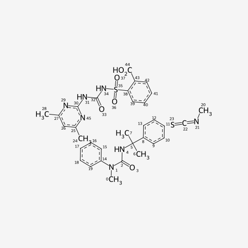 CN(C(=O)NC(C)(C)c1ccccc1)c1ccccc1.CN=C=S.Cc1cc(C)nc(NC(=O)NS(=O)(=O)c2ccccc2C(=O)O)n1